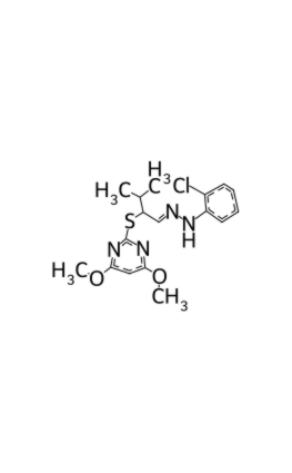 COc1cc(OC)nc(SC(/C=N/Nc2ccccc2Cl)C(C)C)n1